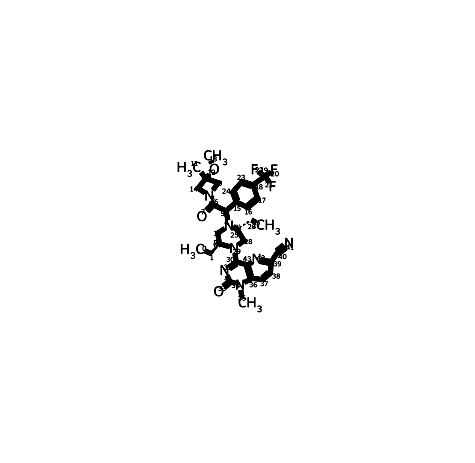 CC[C@H]1CN(C(C(=O)N2CC(C)(OC)C2)c2ccc(C(F)(F)F)cc2)[C@H](CC)CN1c1nc(=O)n(C)c2ccc(C#N)nc12